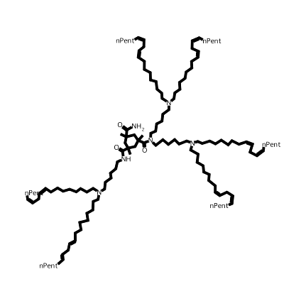 CCCCCC=CCC=CCCCCCCCCN(CCCCCCCC/C=C\C/C=C\CCCCC)CCCCCCNC(=O)C1(C)CC(C)(C(N)=O)CC(C)(C(=O)N(CCCCCCN(CCCCCCCC/C=C\C/C=C\CCCCC)CCCCCCCC/C=C\C/C=C\CCCCC)CCCCCCN(CCCCCCCC/C=C\C/C=C\CCCCC)CCCCCCCC/C=C\C/C=C\CCCCC)C1